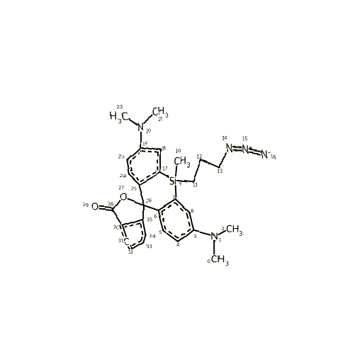 CN(C)c1ccc2c(c1)[Si](C)(CCCN=[N+]=[N-])c1cc(N(C)C)ccc1C21OC(=O)c2ccccc21